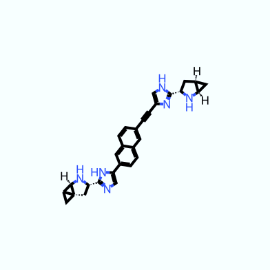 C(#Cc1c[nH]c([C@@H]2C[C@H]3C[C@H]3N2)n1)c1ccc2cc(-c3cnc([C@@H]4C[C@]56CC5[C@H]6N4)[nH]3)ccc2c1